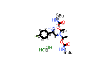 CCCCNC(=O)OC(C)N(CC(N)c1ccc(F)cc1)C(C)OC(=O)NCCCC.Cl.Cl